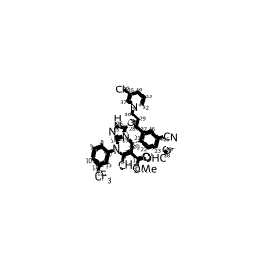 COC(=O)C1=C(C)N(c2cccc(C(F)(F)F)c2)c2n[nH]c(=O)n2[C@@H]1c1ccc(C#N)cc1CCC[n+]1cccc(Cl)c1.O=C[O-]